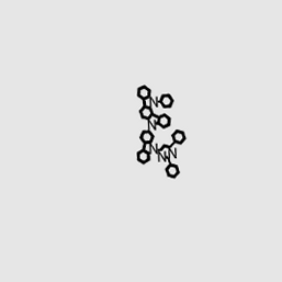 c1ccc(-c2cc(-n3c4ccccc4c4ccc(-n5c6ccccc6c6c5ccc5c7ccccc7n(-c7ccccc7)c56)cc43)nc(-c3ccccc3)n2)cc1